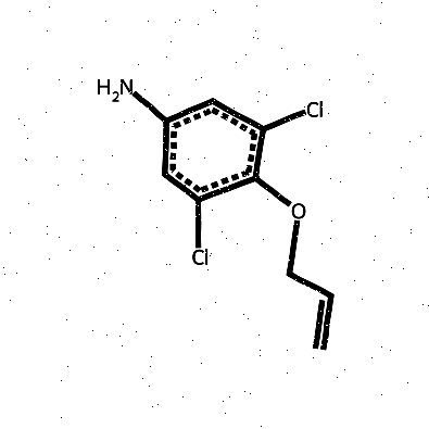 C=CCOc1c(Cl)cc(N)cc1Cl